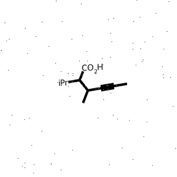 CC#CC(C)C(C(=O)O)C(C)C